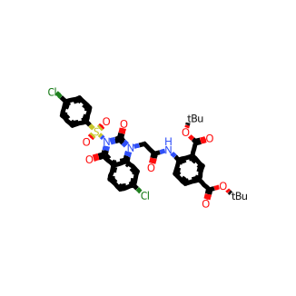 CC(C)(C)OC(=O)c1ccc(NC(=O)Cn2c(=O)n(S(=O)(=O)c3ccc(Cl)cc3)c(=O)c3ccc(Cl)cc32)c(C(=O)OC(C)(C)C)c1